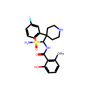 COc1cccc(O)c1C(=O)NC(C1(c2cccc(F)c2)CCNCC1)S(N)(=O)=O